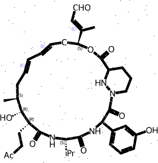 CC(=O)CC[C@H]1C(=O)N[C@@H](C(C)C)C(=O)NC(c2cccc(O)c2)C(=O)N2CCCC(N2)C(=O)O[C@H](/C(C)=C/C=O)C/C=C/C=C/C[C@H](C)[C@H]1O